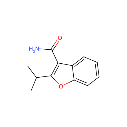 CC(C)c1oc2ccccc2c1C(N)=O